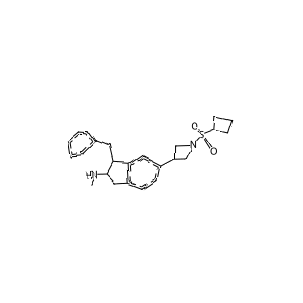 CNC1Cc2ccc(C3CN(S(=O)(=O)C4CCC4)C3)cc2C1Cc1ccccc1